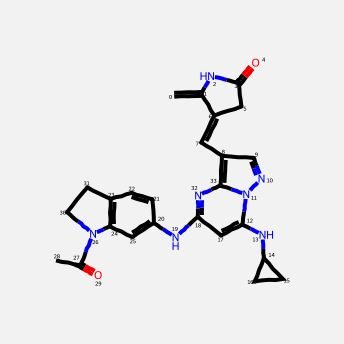 C=C1NC(=O)C/C1=C\c1cnn2c(NC3CC3)cc(Nc3ccc4c(c3)N(C(C)=O)CC4)nc12